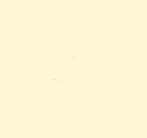 CC=CC([SiH3])(OC)OC